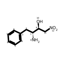 N[C@H](Cc1ccccc1)[C@@H](O)C[N+](=O)[O-]